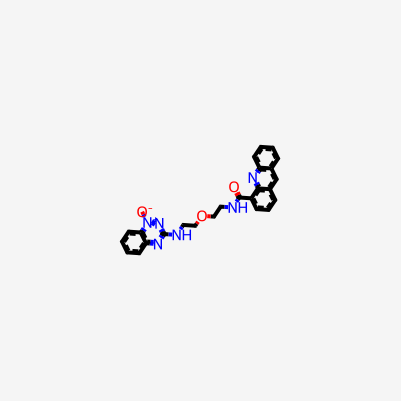 O=C(NCCOCCNc1nc2ccccc2[n+]([O-])n1)c1cccc2cc3ccccc3nc12